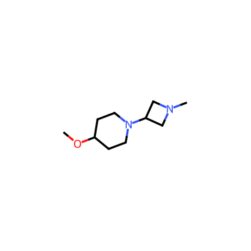 COC1CCN(C2CN(C)C2)CC1